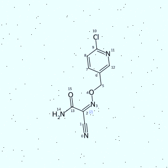 N#C/C(=N/OCc1ccc(Cl)nc1)C(N)=O